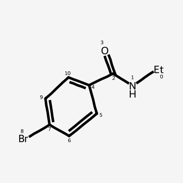 CCNC(=O)c1ccc(Br)cc1